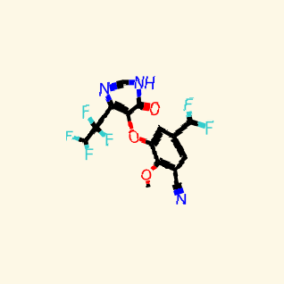 COc1c(C#N)cc(C(F)F)cc1Oc1c(C(F)(F)C(F)F)nc[nH]c1=O